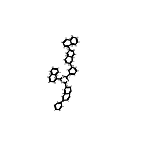 c1ccc(-c2ccc3ccc(-c4nc(-c5cccc(-c6ccc7cc(-c8cccc9ccccc89)ccc7c6)c5)nc(-c5cccc6ccccc56)n4)cc3c2)cc1